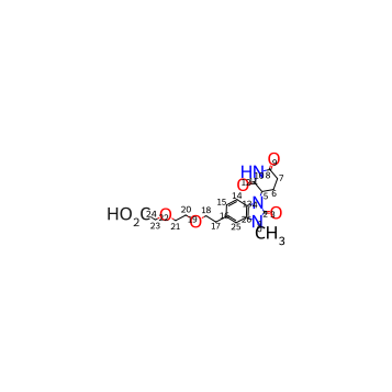 Cn1c(=O)n(C2CCC(=O)NC2=O)c2ccc(CCOCCOCC(=O)O)cc21